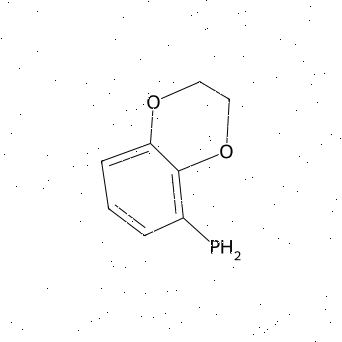 Pc1cccc2c1OCCO2